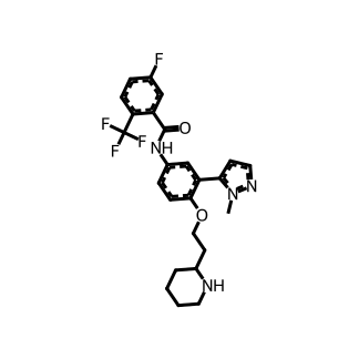 Cn1nccc1-c1cc(NC(=O)c2cc(F)ccc2C(F)(F)F)ccc1OCCC1CCCCN1